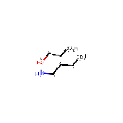 NCCCC(=O)O.O=S(=O)(O)CCO